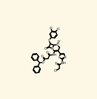 O=C(CC(=O)OC(c1ccccc1)c1ccccc1)NC1=C(c2cnc(NC(=O)CCl)s2)C[S+]([O-])C2C(Sc3ccc(Cl)c(Cl)c3)C(=O)N12